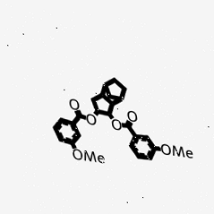 COc1cccc(C(=O)OC2CC3C4CCC(C4)C3C2OC(=O)c2cccc(OC)c2)c1